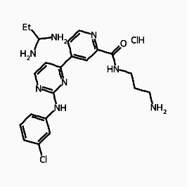 CCC(N)N.Cl.NCCCNC(=O)c1cc(-c2ccnc(Nc3cccc(Cl)c3)n2)ccn1